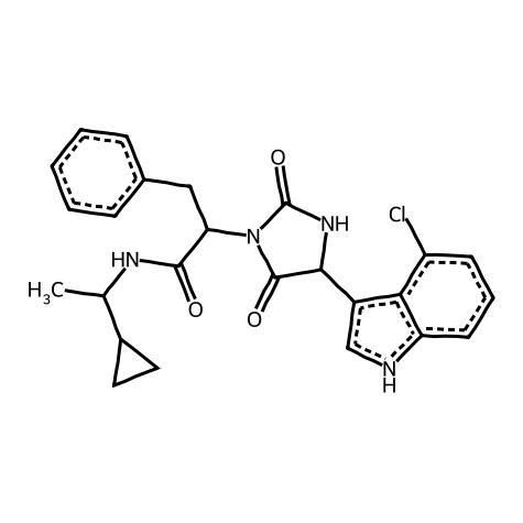 CC(NC(=O)C(Cc1ccccc1)N1C(=O)NC(c2c[nH]c3cccc(Cl)c23)C1=O)C1CC1